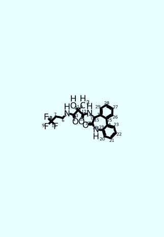 C[C@](O)(C(=O)NCCC(F)(F)F)C(=O)N[C@@H]1C(=O)Nc2ccccc2-c2ccccc21